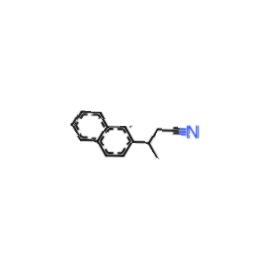 CC(CC#N)c1[c]c2ccccc2cc1